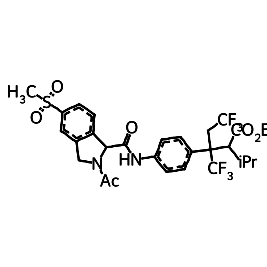 CCOC(=O)C(C(C)C)C(CC(F)(F)F)(c1ccc(NC(=O)C2c3ccc(S(C)(=O)=O)cc3CN2C(C)=O)cc1)C(F)(F)F